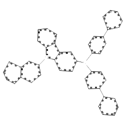 c1ccc(-c2ccc(N(c3ccc(-c4ccccc4)cc3)c3ccc4c(c3)c3ccccc3n4-c3ccc4ccccc4c3)cc2)cc1